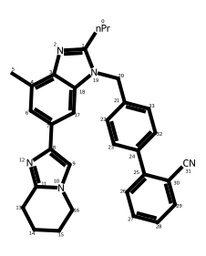 CCCc1nc2c(C)cc(-c3cn4c(n3)CCCC4)cc2n1Cc1ccc(-c2ccccc2C#N)cc1